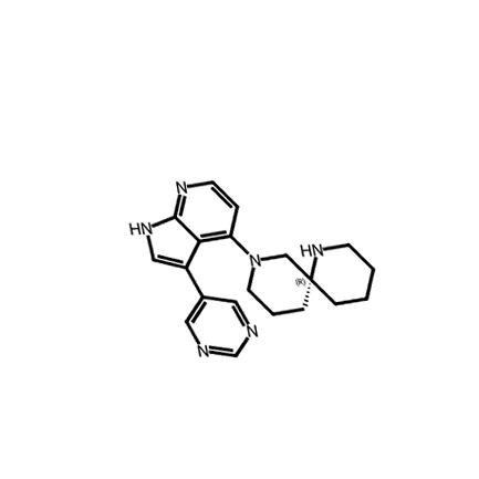 c1ncc(-c2c[nH]c3nccc(N4CCC[C@]5(CCCCN5)C4)c23)cn1